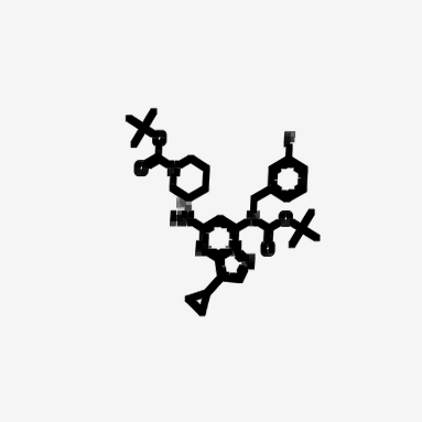 CC(C)(C)OC(=O)N1CCC[C@H](Nc2cc(N(Cc3cccc(F)c3)C(=O)OC(C)(C)C)n3ncc(C4CC4)c3n2)C1